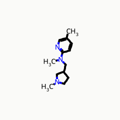 Cc1ccc(N(C)CC2CCN(C)C2)nc1